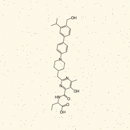 CCC(NC(=O)c1nc(CC2CCN(c3ccc(-c4ccc(CO)c(C(C)C)c4)cc3)CC2)nc(C)c1O)C(=O)O